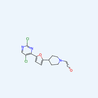 O=C=CN1CCC(c2ccc(-c3nc(Cl)ncc3Cl)o2)CC1